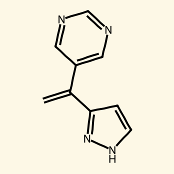 C=C(c1cncnc1)c1cc[nH]n1